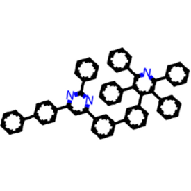 c1ccc(-c2ccc(-c3cc(-c4cccc(-c5cccc(-c6c(-c7ccccc7)c(-c7ccccc7)nc(-c7ccccc7)c6-c6ccccc6)c5)c4)nc(-c4ccccc4)n3)cc2)cc1